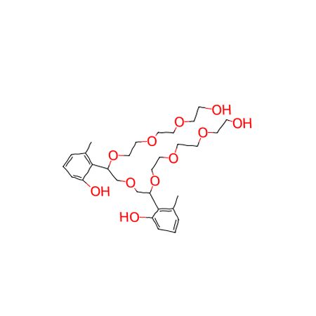 Cc1cccc(O)c1C(COCC(OCCOCCOCCO)c1c(C)cccc1O)OCCOCCOCCO